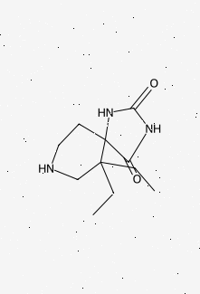 CCC1(CC)CNCCC12NC(=O)NC2=O